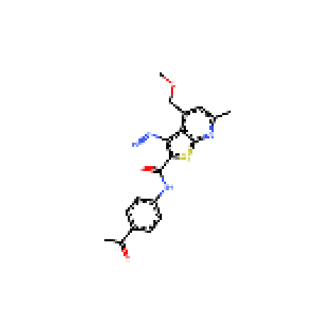 COCc1cc(C)nc2sc(C(=O)Nc3ccc(C(C)=O)cc3)c(N=N)c12